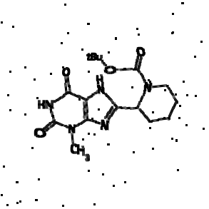 Cn1c(=O)[nH]c(=O)c2[nH]c(C3CCCCN3C(=O)OC(C)(C)C)nc21